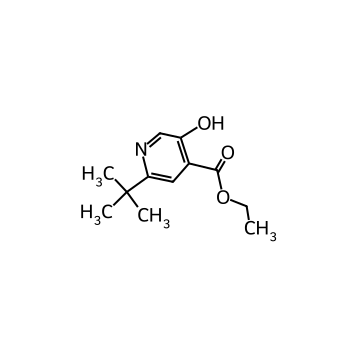 CCOC(=O)c1cc(C(C)(C)C)ncc1O